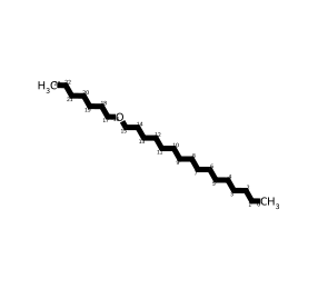 CCCCCCCCCCCCCCCCOCCCCCCC